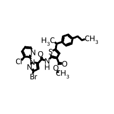 CCCc1ccc(C(C)c2cc(C(=O)OC)c(NC(=O)c3cc(Br)nn3-c3ncccc3Cl)s2)cc1